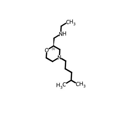 CCNC[C@H]1CN(CCCC(C)C)CCO1